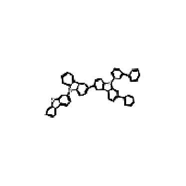 c1ccc(-c2cccc(-n3c4ccc(-c5ccc6c(c5)c5ccccc5n6-c5ccc6c(c5)sc5ccccc56)cc4c4ccc(-c5ccccc5)cc43)c2)cc1